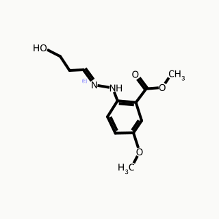 COC(=O)c1cc(OC)ccc1N/N=C/CCO